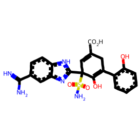 N=C(N)c1ccc2[nH]c(C3(S(N)(=O)=O)C=C(C(=O)O)CC(c4ccccc4O)=C3O)nc2c1